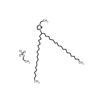 CCCCCCCCCCCCCCCCCCC(CCCCCCCCCCCCCCCCCC)[N+]1=CN(CC)CC1.CCOS(=O)(=O)[O-]